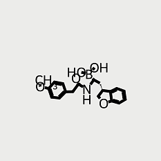 COc1ccc(CC(=O)NC(C[C@H]2COc3ccccc32)B(O)O)cc1